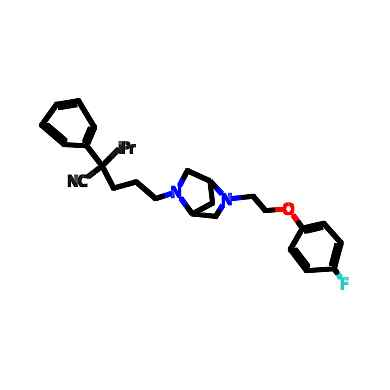 CC(C)C(C#N)(CCCN1CC2CC1CN2CCOc1ccc(F)cc1)c1ccccc1